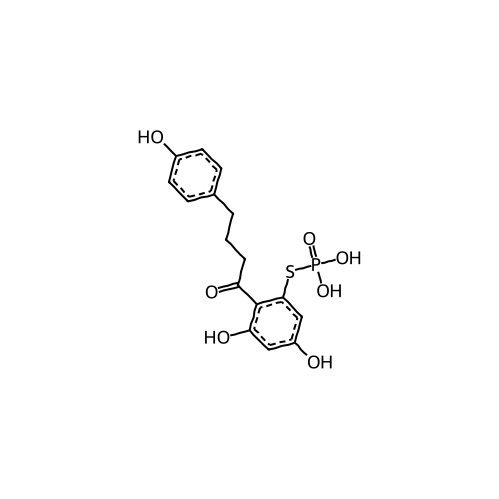 O=C(CCCc1ccc(O)cc1)c1c(O)cc(O)cc1SP(=O)(O)O